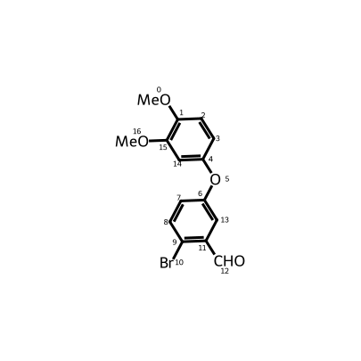 COc1ccc(Oc2ccc(Br)c(C=O)c2)cc1OC